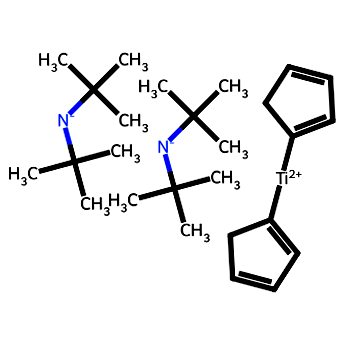 C1=CC[C]([Ti+2][C]2=CC=CC2)=C1.CC(C)(C)[N-]C(C)(C)C.CC(C)(C)[N-]C(C)(C)C